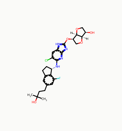 CC(C)(O)CCc1cc(F)c2c(c1)CC[C@@H]2Nc1nc2nc(O[C@@H]3CO[C@H]4[C@@H]3OC[C@H]4O)[nH]c2cc1Cl